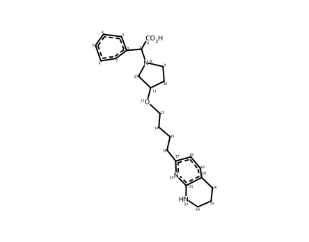 O=C(O)C(c1ccccc1)N1CCC(OCCCCc2ccc3c(n2)NCCC3)C1